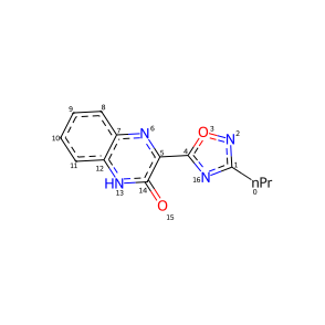 CCCc1noc(-c2nc3ccccc3[nH]c2=O)n1